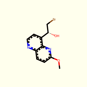 COc1ccc2nccc([C@@H](O)CBr)c2n1